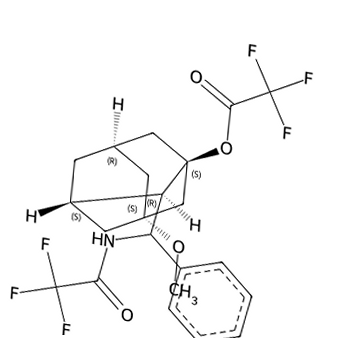 CO[C@@]12C[C@H]3C[C@@H](C1)[C@H](C(NC(=O)C(F)(F)F)c1ccccc1)[C@](OC(=O)C(F)(F)F)(C3)C2